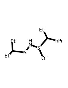 CCCC(CC)[S+]([O-])NSC(CC)CC